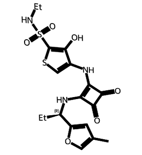 CCNS(=O)(=O)c1scc(Nc2c(N[C@H](CC)c3cc(C)co3)c(=O)c2=O)c1O